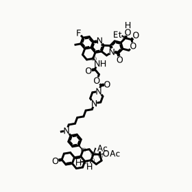 CC[C@@]1(O)C(=O)OCc2c1cc1n(c2=O)Cc2c-1nc1cc(F)c(C)c3c1c2[C@@H](NC(=O)COC(=O)N1CCN(CCCCCCN(C)c2ccc([C@H]4C[C@@]5(C)[C@@H](CC[C@]5(OC(C)=O)C(C)=O)[C@@H]5CCC6=CC(=O)CCC6=C54)cc2)CC1)CC3